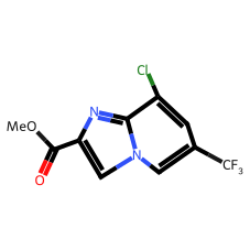 COC(=O)c1cn2cc(C(F)(F)F)cc(Cl)c2n1